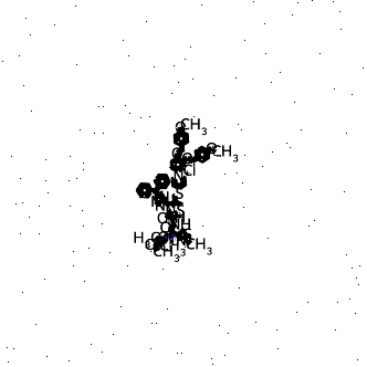 COc1ccc(COc2ccc(-[n+]3ccc(SCC4=C(c5nnn(C(c6ccccc6)c6ccccc6)n5)N5C(=O)[C@@H](NC(=O)/C(=N\OC(C)(C)C(C)=O)c6csc(C)n6)[C@H]5SC4)cc3)c(Cl)c2OCc2ccc(OC)cc2)cc1